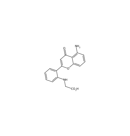 Nc1cccc2oc(-c3ccccc3NCC(=O)O)cc(=O)c12